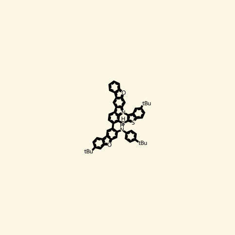 CC(C)(C)c1ccc(Nc2cc3oc4cc(C(C)(C)C)ccc4c3cc2-c2ccc3c4cc5c(cc4n4c3c2Bc2sc3ccc(C(C)(C)C)cc3c2-4)oc2ccccc25)cc1